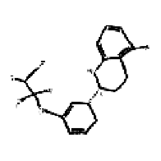 FC(F)C(F)(F)OC1=CC([C@H]2CCc3c(Br)cccc3N2)CC=C1